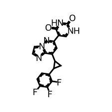 O=c1[nH]cc(-c2cc(C3CC3c3ccc(F)c(F)c3F)c3nccn3n2)c(=O)[nH]1